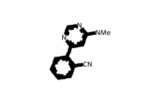 CNc1cc(-c2ccccc2C#N)ncn1